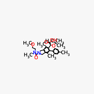 COCCN(C)C(=O)N1Cc2c(C)c(-c3ccc(C)cc3)c([C@H](OC(C)(C)C)C(=O)O)c(C)c2C1